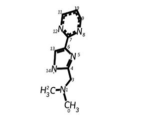 CN(C)CC1=NC(c2ncccn2)=C[N]1